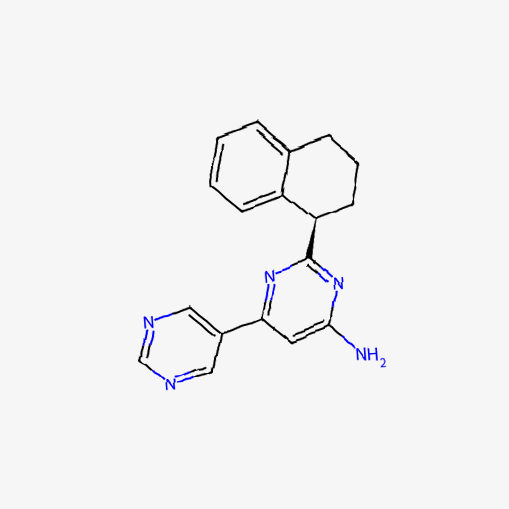 Nc1cc(-c2cncnc2)nc([C@@H]2CCCc3ccccc32)n1